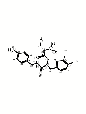 CCN(CC)[C@@H](CO)C(=O)N[C@@H](Cc1ccc(F)c(F)c1)C(=O)NCc1ccc(N)nc1